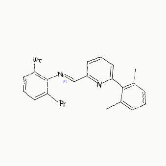 Cc1cccc(C)c1-c1cccc(/C=N/c2c(C(C)C)cccc2C(C)C)n1